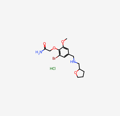 COc1cc(CNCC2CCCO2)cc(Br)c1OCC(N)=O.Cl